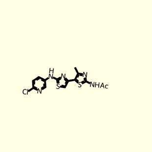 CC(=O)Nc1nc(C)c(-c2csc(Nc3ccc(Cl)nc3)n2)s1